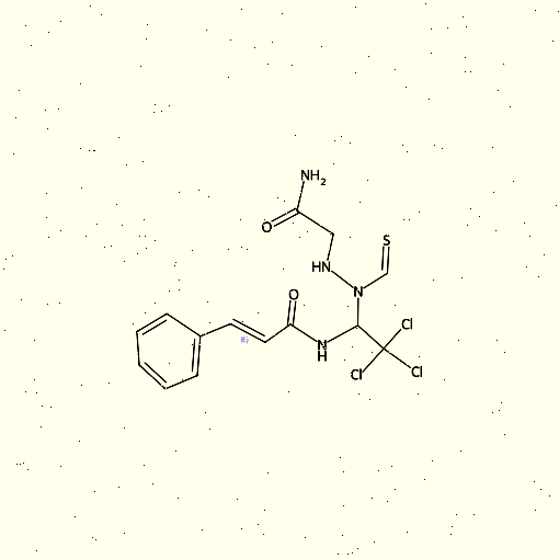 NC(=O)CNN(C=S)C(NC(=O)/C=C/c1ccccc1)C(Cl)(Cl)Cl